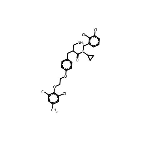 Cc1cc(Cl)c(OCCOc2ccc(CC(CN)C(=O)N(Cc3cccc(Cl)c3Cl)C3CC3)cc2)c(Cl)c1